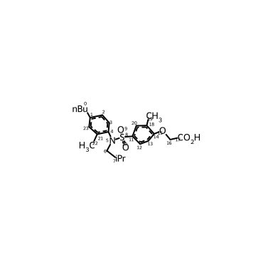 CCCCc1ccc(N(CC(C)C)S(=O)(=O)c2ccc(OCC(=O)O)c(C)c2)c(C)c1